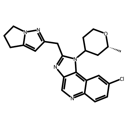 C[C@@H]1CC(n2c(Cc3cc4n(n3)CCC4)nc3cnc4ccc(Cl)cc4c32)CCO1